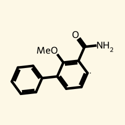 COc1c(C(N)=O)[c]ccc1-c1ccccc1